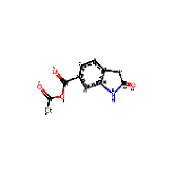 CCC(=O)OC(=O)c1ccc2c(c1)NC(=O)C2